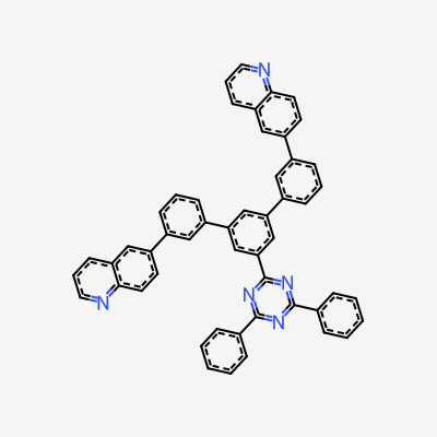 c1ccc(-c2nc(-c3ccccc3)nc(-c3cc(-c4cccc(-c5ccc6ncccc6c5)c4)cc(-c4cccc(-c5ccc6ncccc6c5)c4)c3)n2)cc1